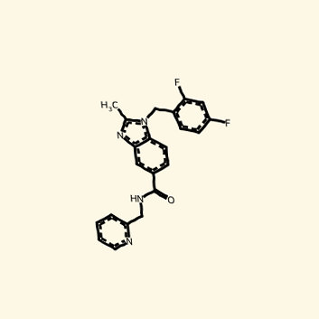 Cc1nc2cc(C(=O)NCc3ccccn3)ccc2n1Cc1ccc(F)cc1F